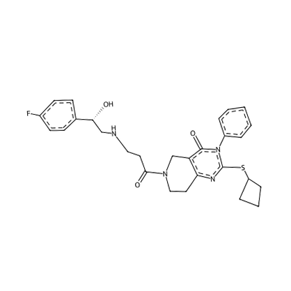 O=C(CCNC[C@@H](O)c1ccc(F)cc1)N1CCc2nc(SC3CCC3)n(-c3ccccc3)c(=O)c2C1